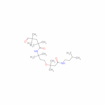 CC(C)CCNC(=O)CC(C)(C)OCCC(C)(C)NC(=O)C(C)(C)CC(C)(C)C=O